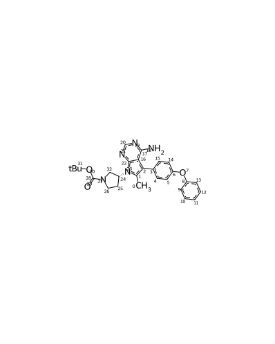 Cc1c(-c2ccc(Oc3ccccc3)cc2)c2c(N)ncnc2n1[C@@H]1CCN(C(=O)OC(C)(C)C)C1